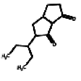 CCC(CC)C1CC2CCC(=O)C2C1=O